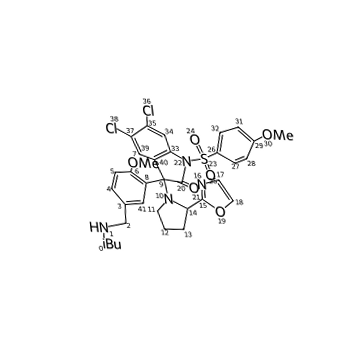 CCC(C)NCc1ccc(OC)c(C2(N3CCCC3c3ncco3)C(=O)N(S(=O)(=O)c3ccc(OC)cc3)c3cc(Cl)c(Cl)cc32)c1